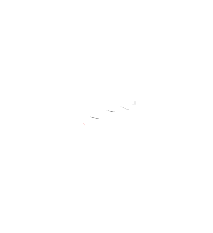 CCC(=O)/C=C/C=C/C=C/C(C)C